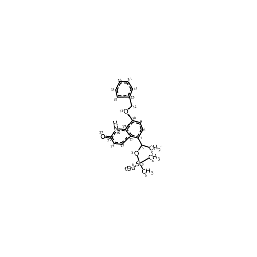 [CH2]C(O[Si](C)(C)C(C)(C)C)c1ccc(OCc2ccccc2)c2[nH]c(=O)ccc12